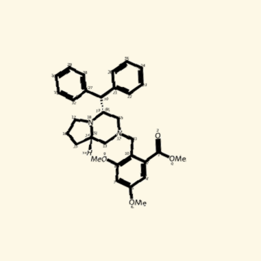 COC(=O)c1cc(OC)cc(OC)c1CN1C[C@@H]2CCCN2[C@H](C(c2ccccc2)c2ccccc2)C1